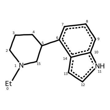 CCN1CCCC(c2cccc3[nH]ccc23)C1